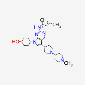 CCC[C@H](C)Nc1ncc2c(C3CCN(C4CCN(C)CC4)CC3)cn([C@H]3CC[C@H](O)CC3)c2n1